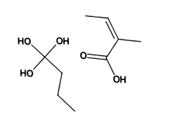 CC=C(C)C(=O)O.CCCC(O)(O)O